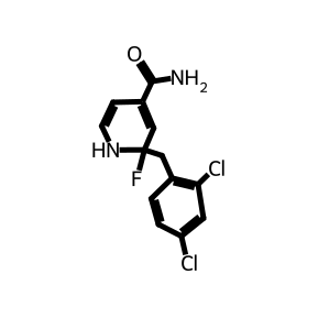 NC(=O)C1=CC(F)(Cc2ccc(Cl)cc2Cl)NC=C1